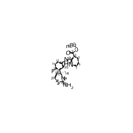 CCCCOC(=O)c1cccnc1Nc1ccc(F)c([C@]2(C)C=CSC(N)=N2)c1